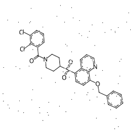 O=C(c1cccc(Cl)c1Cl)N1CCC(S(=O)(=O)c2ccc(OCc3ccccc3)c3ncccc23)CC1